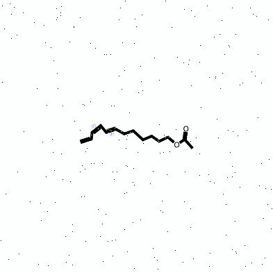 C=C/C=C\C=C\CCCCCCOC(C)=O